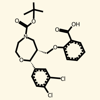 CC(C)(C)OC(=O)N1CCO[C@@H](c2ccc(Cl)c(Cl)c2)[C@@H](COc2ccccc2C(=O)O)C1